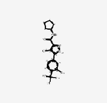 O=C(NC1CCCC1)c1noc(-c2ccc(C(F)(F)F)c(F)c2)c1Cl